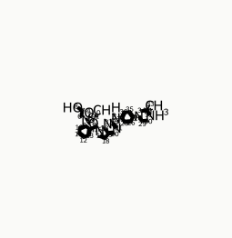 CCS(=O)(=O)N(CCO)c1ccccc1Cn1ccc2cnc(Nc3ccc(N4CCN[C@H](C)C4)cc3)nc21